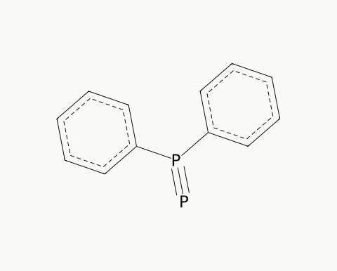 P#P(c1ccccc1)c1ccccc1